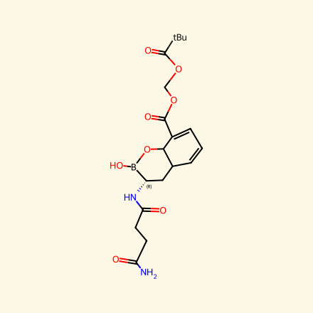 CC(C)(C)C(=O)OCOC(=O)C1=CC=CC2C[C@H](NC(=O)CCC(N)=O)B(O)OC12